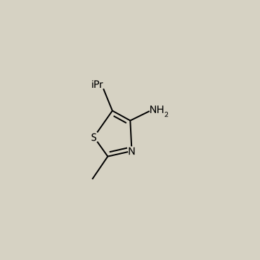 Cc1nc(N)c(C(C)C)s1